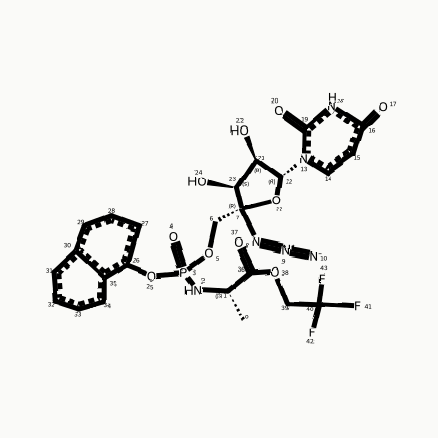 C[C@H](NP(=O)(OC[C@@]1(N=[N+]=[N-])O[C@@H](n2ccc(=O)[nH]c2=O)[C@H](O)[C@@H]1O)Oc1cccc2ccccc12)C(=O)OCC(F)(F)F